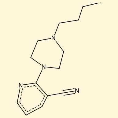 [CH2]CCCN1CCN(c2ncccc2C#N)CC1